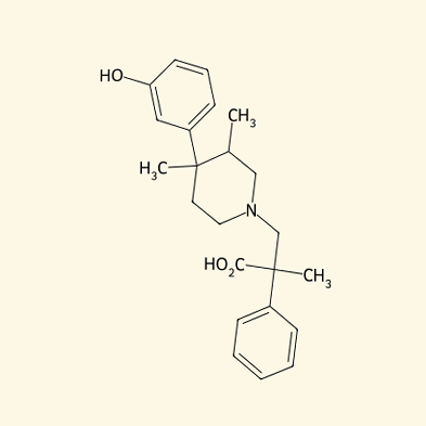 CC1CN(CC(C)(C(=O)O)c2ccccc2)CCC1(C)c1cccc(O)c1